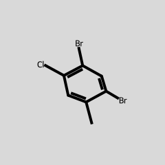 Cc1cc(Cl)c(Br)cc1Br